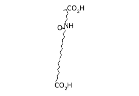 C[C@@H](CCCCNC(=O)CCCCCCCCCCCCCCCCCCC(=O)O)C(=O)O